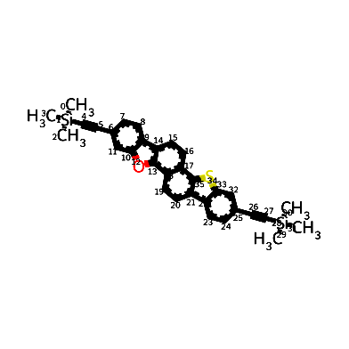 C[Si](C)(C)C#Cc1ccc2c(c1)oc1c2ccc2c1ccc1c3ccc(C#C[Si](C)(C)C)cc3sc12